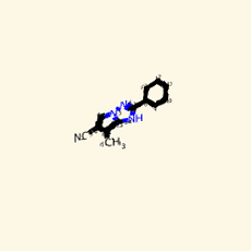 Cc1c(C#N)cn2nc(C3CCCCC3)[nH]c12